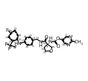 Cc1ncc(OC(=O)N[C@@]2(C(=O)NCc3ccc(Nc4ccc(F)cc4C(F)(F)F)cc3)CCOC2)cn1